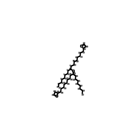 CCCCCCCCC(CCCCCCCCC1CCO1)OC(CCCCCCCC)CCCCCCCCC1CCO1